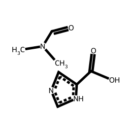 CN(C)C=O.O=C(O)c1cnc[nH]1